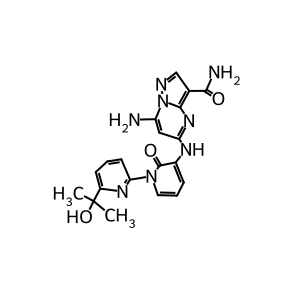 CC(C)(O)c1cccc(-n2cccc(Nc3cc(N)n4ncc(C(N)=O)c4n3)c2=O)n1